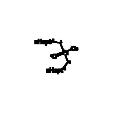 CCCCCCCCP([O])(=O)CCCCCCCC